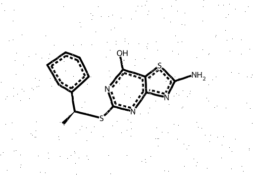 C[C@H](Sc1nc(O)c2sc(N)nc2n1)c1ccccc1